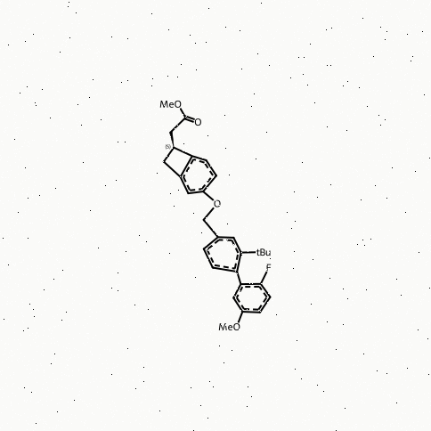 COC(=O)C[C@@H]1Cc2cc(OCc3ccc(-c4cc(OC)ccc4F)c(C(C)(C)C)c3)ccc21